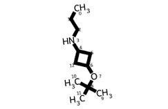 CCCNC1CC(OC(C)(C)C)C1